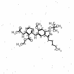 CCCCCc1nn(OC(C)(C)C)c2cc(OC)c(Nc3ncnc(NC(C)=O)c3C(=O)OCC)cc12